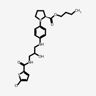 CCCCOC(=O)[C@@H]1CCCN1c1ccc(NCC(O)CNC(=O)c2ccc(Cl)s2)cc1